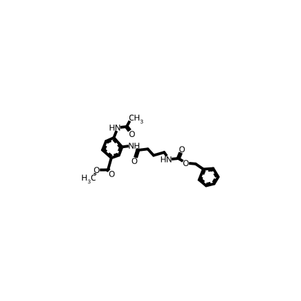 COC(=O)c1ccc(NC(C)=O)c(NC(=O)CCCNC(=O)OCc2ccccc2)c1